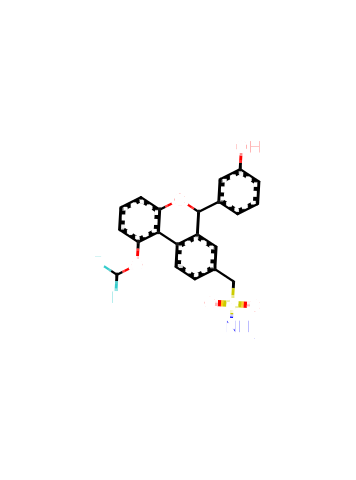 NS(=O)(=O)Cc1ccc2c(c1)C(c1cccc(O)c1)Oc1cccc(OC(F)F)c1-2